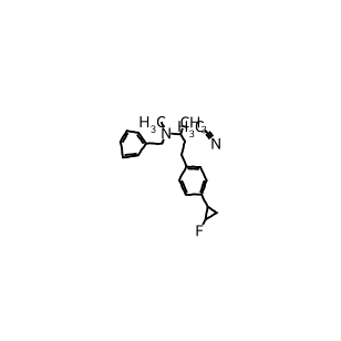 CC#N.CC(CCc1ccc(C2CC2F)cc1)N(C)Cc1ccccc1